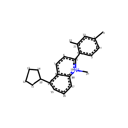 Cc1ccc(-c2ccc3c(C4CCCC4)cccc3[n+]2C)c(C)c1